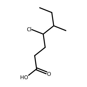 CCC(C)C(Cl)CCC(=O)O